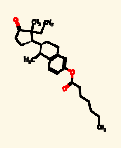 CCCCCCC(=O)Oc1ccc2c(c1)CC[C@@H]([C@@H]1CCC(=O)C1(C)CC)[C@@H]2C